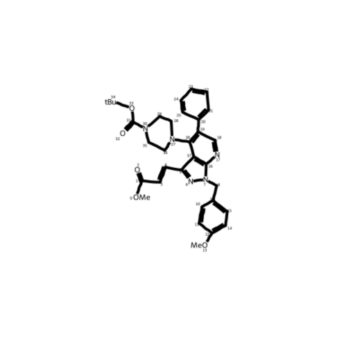 COC(=O)/C=C/c1nn(Cc2ccc(OC)cc2)c2ncc(-c3ccccc3)c(N3CCN(C(=O)OC(C)(C)C)CC3)c12